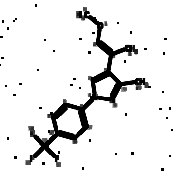 COC=C(C)c1cn(-c2ccc(C(F)(F)F)cc2)nc1C